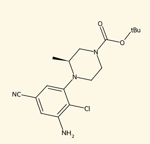 C[C@H]1CN(C(=O)OC(C)(C)C)CCN1c1cc(C#N)cc(N)c1Cl